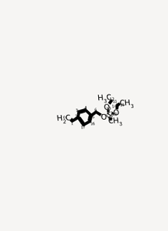 C=Cc1ccc(CO[Si](C)(OCC)OCC)cc1